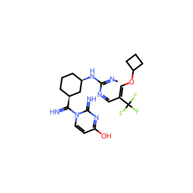 C\N=C(/N=C\C(=C\OC1CCC1)C(F)(F)F)N[C@@H]1CCC[C@H](C(=N)n2ccc(O)nc2=N)C1